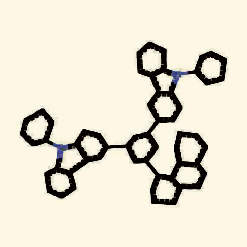 c1ccc(-n2c3ccccc3c3cc(-c4cc(-c5ccc6c(c5)c5ccccc5n6-c5ccccc5)cc(-c5cccc6ccc7ccccc7c56)c4)ccc32)cc1